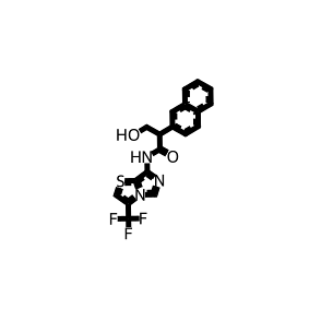 O=C(Nc1ncn2c(C(F)(F)F)csc12)C(CO)c1ccc2ccccc2c1